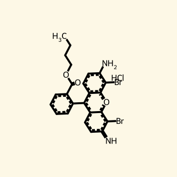 CCCCOC(=O)c1ccccc1-c1c2ccc(=N)c(Br)c-2oc2c(Br)c(N)ccc12.Cl